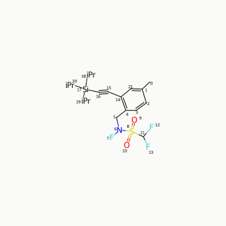 Cc1ccc(CN(F)S(=O)(=O)C(F)F)c(C#C[Si](C(C)C)(C(C)C)C(C)C)c1